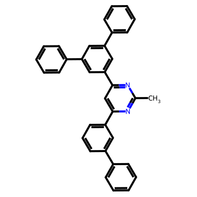 Cc1nc(-c2cccc(-c3ccccc3)c2)cc(-c2cc(-c3ccccc3)cc(-c3ccccc3)c2)n1